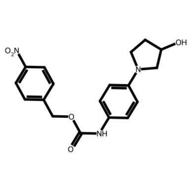 O=C(Nc1ccc(N2CCC(O)C2)cc1)OCc1ccc([N+](=O)[O-])cc1